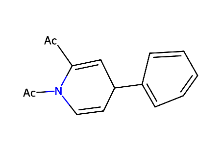 CC(=O)C1=CC(c2ccccc2)C=CN1C(C)=O